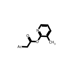 CC(=O)CC(=O)Oc1ncccc1C